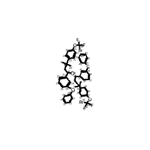 CC(C)(CC(OC(CC(C)(C)c1ccc(OC(F)(F)Br)cc1)c1cccc(Oc2ccccc2)c1)c1cccc(Oc2ccccc2)c1)c1ccc(OC(F)(F)Br)cc1